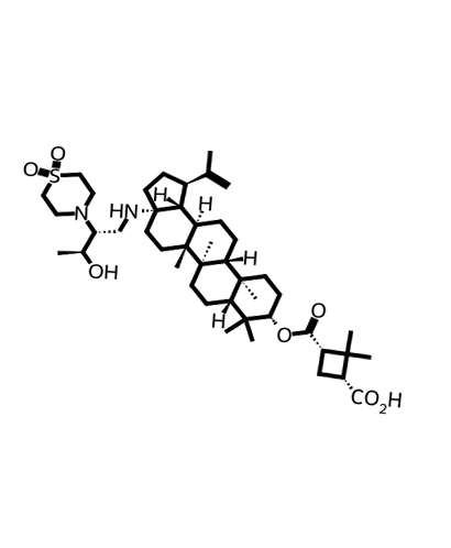 C=C(C)[C@@H]1CC[C@]2(NC[C@H]([C@H](C)O)N3CCS(=O)(=O)CC3)CC[C@]3(C)[C@H](CC[C@@H]4[C@@]5(C)CC[C@H](OC(=O)[C@H]6C[C@@H](C(=O)O)C6(C)C)C(C)(C)[C@@H]5CC[C@]43C)[C@@H]12